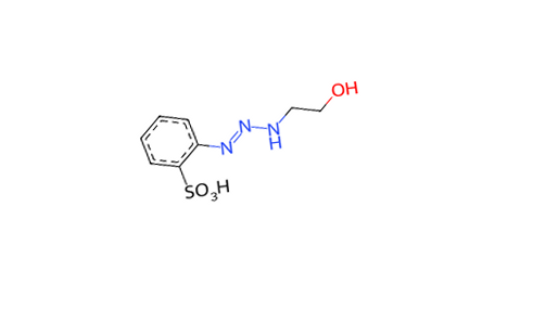 O=S(=O)(O)c1ccccc1N=NNCCO